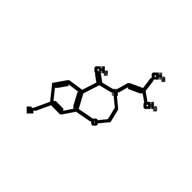 C=C1c2ccc(Br)cc2OCCN1C=C(C)C